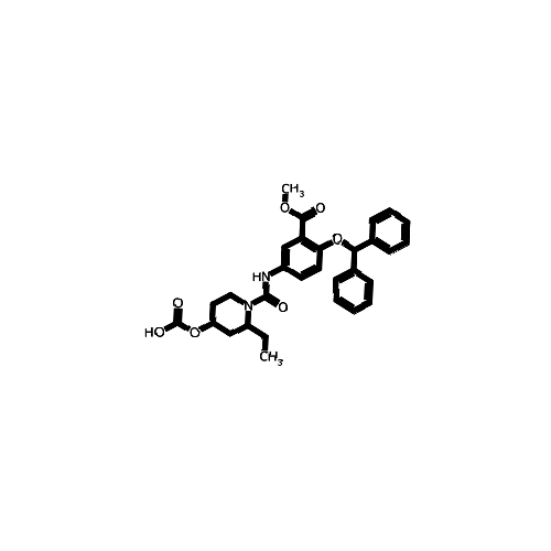 CCC1CC(OC(=O)O)CCN1C(=O)Nc1ccc(OC(c2ccccc2)c2ccccc2)c(C(=O)OC)c1